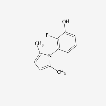 Cc1ccc(C)n1-c1[c]ccc(O)c1F